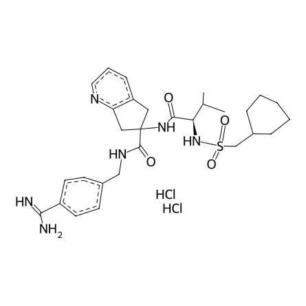 CC(C)[C@@H](NS(=O)(=O)CC1CCCCC1)C(=O)NC1(C(=O)NCc2ccc(C(=N)N)cc2)Cc2cccnc2C1.Cl.Cl